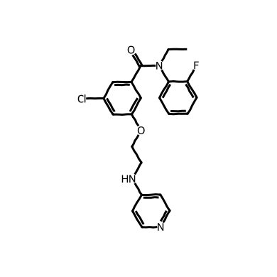 CCN(C(=O)c1cc(Cl)cc(OCCNc2ccncc2)c1)c1ccccc1F